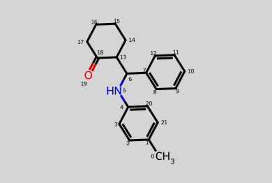 Cc1ccc(NC(c2ccccc2)C2CCCCC2=O)cc1